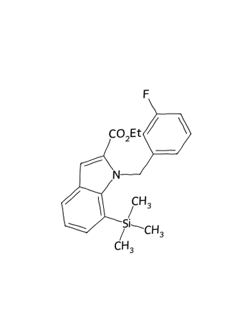 CCOC(=O)c1cc2cccc([Si](C)(C)C)c2n1Cc1cccc(F)c1